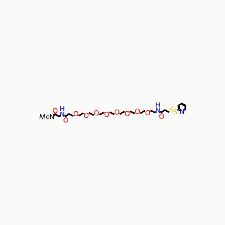 CNC(=O)CNC(=O)CCOCCOCCOCCOCCOCCOCCOCCOCCNC(=O)CCSSc1ccccn1